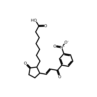 O=C(O)CCCCCCC1C(=O)CCC1C=CC(=O)c1cccc([N+](=O)[O-])c1